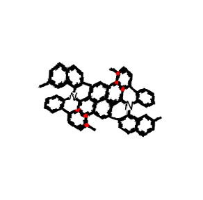 Cc1ccc2ccc(C)c(N(c3ccccc3-c3ccccc3)c3cc(C(C)C)c4ccc5c(N(c6ccccc6-c6ccccc6)c6c(C)ccc7ccc(C)cc67)cc(C(C)C)c6ccc3c4c65)c2c1